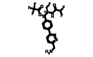 NCc1ccc(-c2ccc([C@H](OC(=O)C(F)(F)F)[C@@H](CF)NC(=O)C(F)F)cc2)nn1